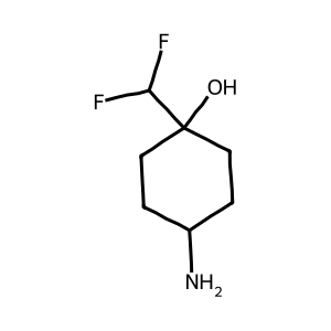 NC1CCC(O)(C(F)F)CC1